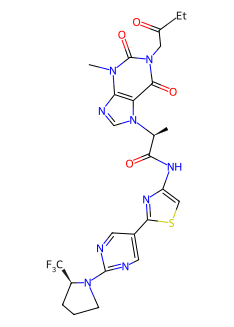 CCC(=O)Cn1c(=O)c2c(ncn2[C@@H](C)C(=O)Nc2csc(-c3cnc(N4CCC[C@H]4C(F)(F)F)nc3)n2)n(C)c1=O